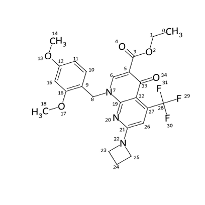 CCOC(=O)c1cn(Cc2ccc(OC)cc2OC)c2nc(N3CCC3)cc(C(F)(F)F)c2c1=O